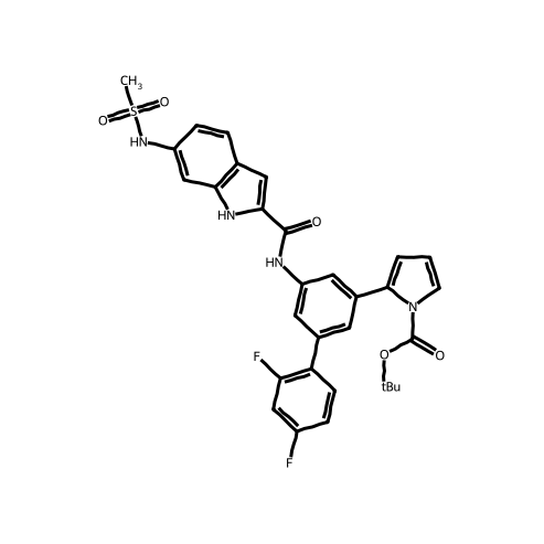 CC(C)(C)OC(=O)n1cccc1-c1cc(NC(=O)c2cc3ccc(NS(C)(=O)=O)cc3[nH]2)cc(-c2ccc(F)cc2F)c1